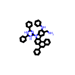 NCc1cc2c3c4c(ccc3n(C3=NC(c5ccccc5)NC(c5ccccc5)N3)c2cc1Nc1ccccc1)c(-c1ccccc1)cc1ccccc14